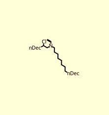 C=CN(CCCCCCCCCCCCCCCCCC)CC(Cl)CCCCCCCCCC